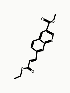 CCOC(=O)/C=C/c1ccc2cc(C(=O)OC)cnc2c1